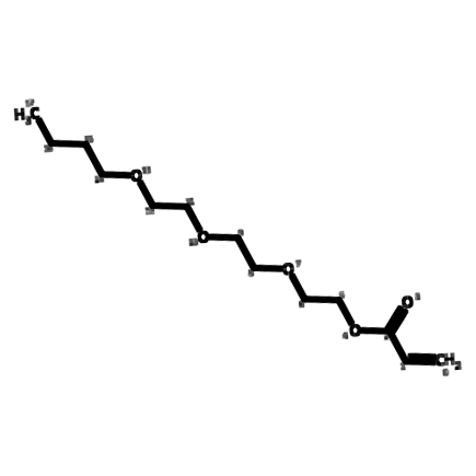 C=CC(=O)OCCOCCOCCOCCCC